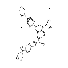 CCS(=O)(=O)c1ccc(CNC(=O)c2ccc3c(c2)CN(c2ncc(N4CCOCC4)cn2)C[C@H]3C(C)C)cc1